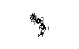 CS(=O)(=O)NC(=O)c1cc(Cl)c(Oc2cnc(OCC(F)F)c(Cl)c2)cc1F